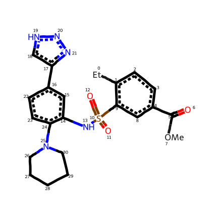 CCc1ccc(C(=O)OC)cc1S(=O)(=O)Nc1cc(-c2c[nH]nn2)ccc1N1CCCCC1